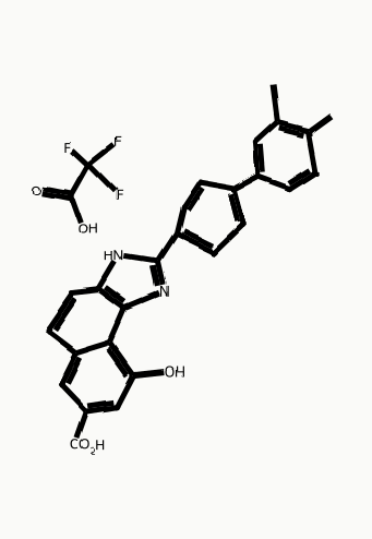 Cc1ccc(-c2ccc(-c3nc4c(ccc5cc(C(=O)O)cc(O)c54)[nH]3)cc2)cc1C.O=C(O)C(F)(F)F